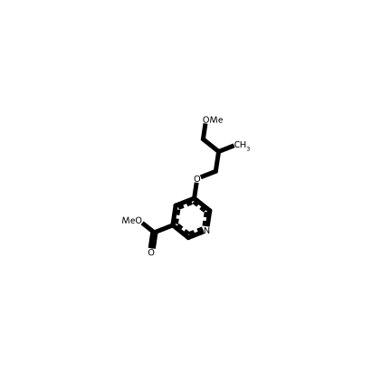 COCC(C)COc1cncc(C(=O)OC)c1